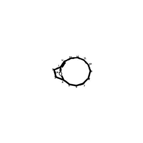 C1=C2CCC(CCCCCCCCC1)O2